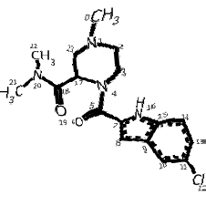 CN1CCN(C(=O)c2cc3cc(Cl)ccc3[nH]2)C(C(=O)N(C)C)C1